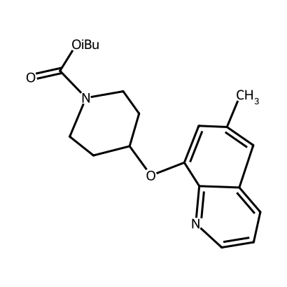 Cc1cc(OC2CCN(C(=O)OCC(C)C)CC2)c2ncccc2c1